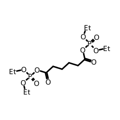 CCOP(=O)(OCC)OC(=O)CCCCC(=O)OP(=O)(OCC)OCC